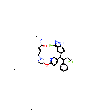 CN(C)C(=O)/C=C/CN1CC[C@H](Oc2ccc(/C(=C(/CC(F)(F)F)c3ccccc3)c3ccc4[nH]nc(F)c4c3)cn2)C1